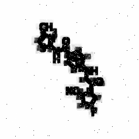 Cc1csc(NC(=O)C23CCC(NCC(=O)N4C[C@@H](F)C[C@H]4C#N)(CC2)CC3)n1